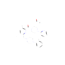 Cc1cc(C)c(C(=O)N2CCN(c3ccc(F)cn3)CC2)nc1CN1CCN(c2ccccc2C#N)CC1.O=C(O)C(F)(F)F